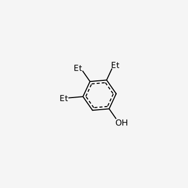 CCc1cc(O)cc(CC)c1CC